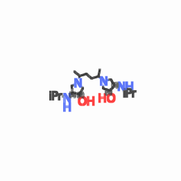 CC(C)N[C@H]1CN(C(C)CCC(C)N2C[C@@H](O)[C@@H](NC(C)C)C2)C[C@H]1O